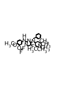 COc1ccc(Nc2ncc(F)c(N(Cc3ccccc3)C3CC(C)(C)N(C)C(C)(C)C3)n2)cc1OC(F)F